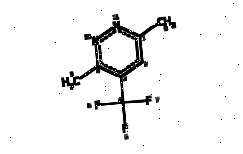 Cc1cc(C(F)(F)F)c(C)nn1